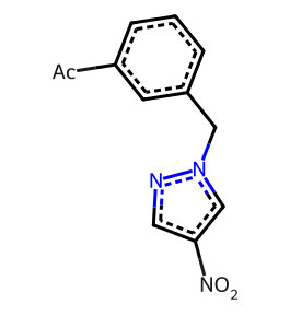 CC(=O)c1cccc(Cn2cc([N+](=O)[O-])cn2)c1